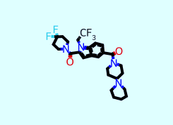 O=C(c1ccc2c(c1)cc(C(=O)N1CCC(F)(F)CC1)n2CC(F)(F)F)N1CCC(N2CCCCC2)CC1